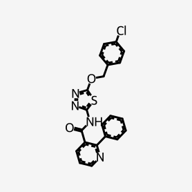 O=C(Nc1nnc(OCc2ccc(Cl)cc2)s1)c1cccnc1-c1ccccc1